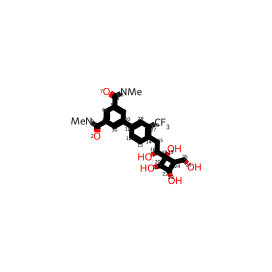 CNC(=O)c1cc(C(=O)NC)cc(-c2ccc(CC(O)C3(O)C(O)C(O)C3CO)c(C(F)(F)F)c2)c1